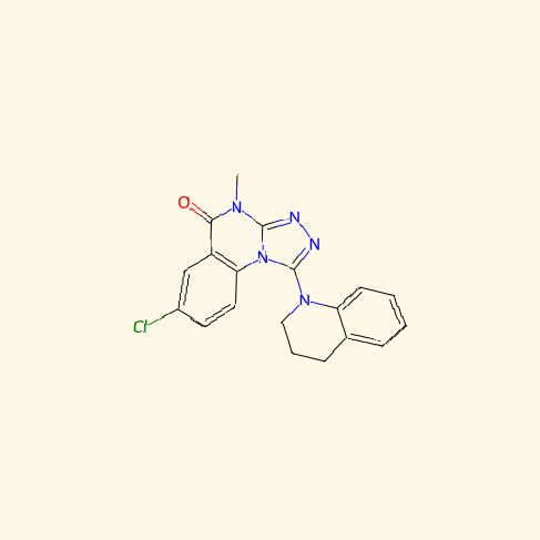 Cn1c(=O)c2cc(Cl)ccc2n2c(N3CCCc4ccccc43)nnc12